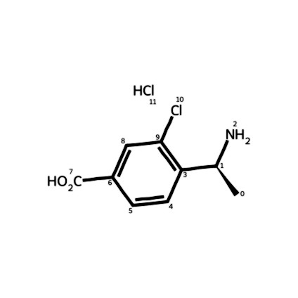 C[C@H](N)c1ccc(C(=O)O)cc1Cl.Cl